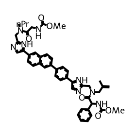 C=C(C)CN(Cc1ncc(-c2ccc(-c3ccc4cc(-c5cnc(CN(CCC)C(=O)CNC(=O)OC)[nH]5)ccc4c3)cc2)[nH]1)C(=O)C(NC(=O)OC)c1ccccc1